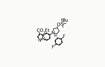 CCOC(=O)c1cnn2ccc(N3CC(O[Si](C)(C)C(C)(C)C)C[C@@H]3c3cc(F)ccc3F)cc12